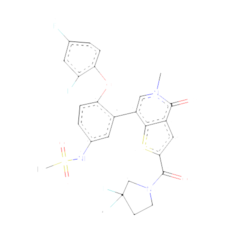 CCS(=O)(=O)Nc1ccc(Oc2ccc(F)cc2F)c(-c2cn(C)c(=O)c3cc(C(=O)N4CCC(F)(F)C4)sc23)c1